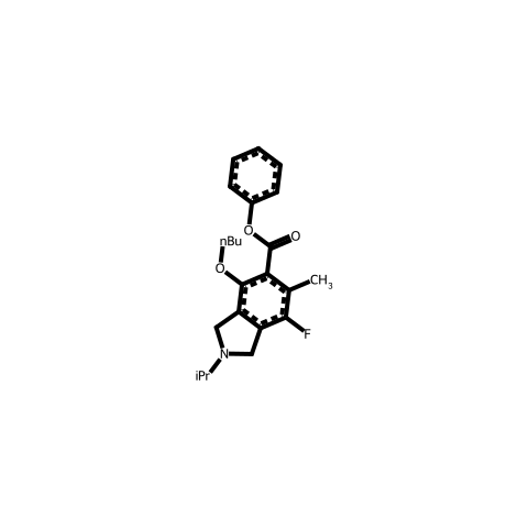 CCCCOc1c2c(c(F)c(C)c1C(=O)Oc1ccccc1)CN(C(C)C)C2